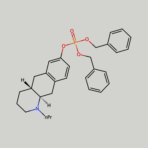 CCCN1CCC[C@@H]2Cc3cc(OP(=O)(OCc4ccccc4)OCc4ccccc4)ccc3C[C@H]21